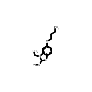 CCCCOc1ccc2c(c1)N(CC)C(S[N])S2